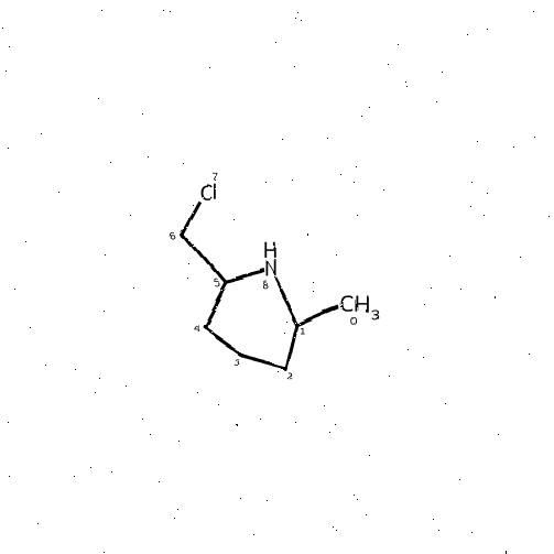 CC1CCCC(CCl)N1